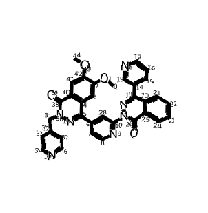 COc1cc2c(-c3ccnc(-n4nc(-c5cccnc5)c5ccccc5c4=O)c3)nn(Cc3ccncc3)c(=O)c2cc1OC